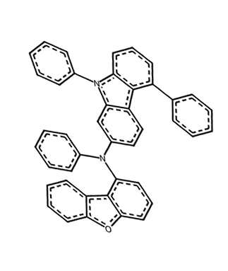 c1ccc(-c2cccc3c2c2ccc(N(c4ccccc4)c4cccc5oc6ccccc6c45)cc2n3-c2ccccc2)cc1